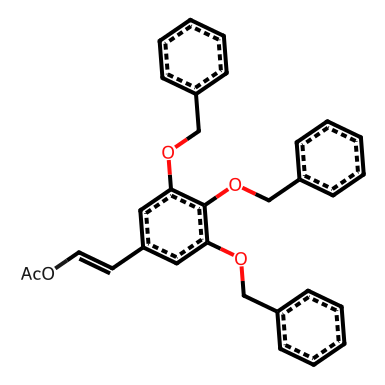 CC(=O)OC=Cc1cc(OCc2ccccc2)c(OCc2ccccc2)c(OCc2ccccc2)c1